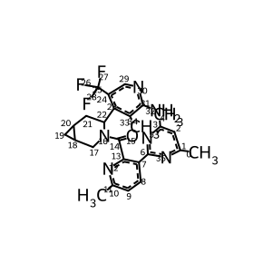 Cc1cc(C)nc(-c2ccc(C)nc2C(=O)N2CC3CC3CC2c2c(C(F)(F)F)cnc(N)c2C)n1